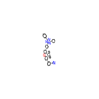 N#Cc1cccc(-c2ccc3c(c2)C2(c4cc(-c5ccc(-c6nc(-c7ccccc7)nc(-c7ccccc7)n6)cc5)ccc4O3)c3ccccc3-c3ccccc32)c1